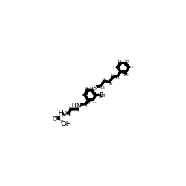 O=[PH](O)OCCCNCc1ccc(SCCCCCc2ccccc2)c(Br)c1